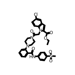 CCOC(=O)c1cc2cc(Cl)ccc2n1CC(=O)N1CCN(c2ccccc2C(=O)Nc2ccc(S(C)(=O)=O)cc2)CC1